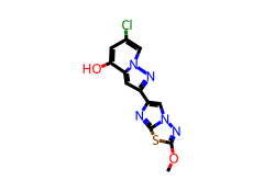 COc1nn2cc(-c3cc4c(O)cc(Cl)cn4n3)nc2s1